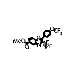 COC(=O)c1ccc2nc(-c3ccc(OC(F)(F)F)cc3)c(N(C)C(C)C)nc2c1